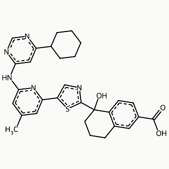 Cc1cc(Nc2cc(C3CCCCC3)ncn2)nc(-c2cnc(C3(O)CCCc4cc(C(=O)O)ccc43)s2)c1